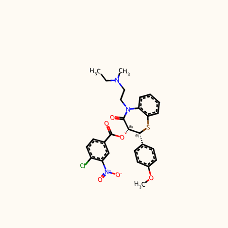 CCN(C)CCN1C(=O)[C@@H](OC(=O)c2ccc(Cl)c([N+](=O)[O-])c2)[C@@H](c2ccc(OC)cc2)Sc2ccccc21